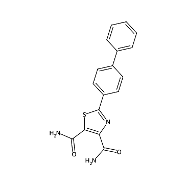 NC(=O)c1nc(-c2ccc(-c3ccccc3)cc2)sc1C(N)=O